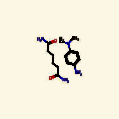 CN(C)c1ccc(N)cc1.NC(=O)CCCCC(N)=O